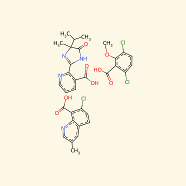 CC(C)C1(C)N=C(c2ncccc2C(=O)O)NC1=O.COc1c(Cl)ccc(Cl)c1C(=O)O.Cc1cnc2c(C(=O)O)c(Cl)ccc2c1